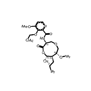 CCCO[C@H]1COC[C@H](NC(=O)c2nccc(OC)c2OCOC(C)=O)C(=O)O[C@@H](C)[C@@H]1CCC(C)C